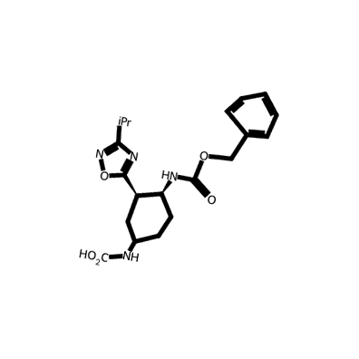 CC(C)c1noc([C@@H]2CC(NC(=O)O)CC[C@@H]2NC(=O)OCc2ccccc2)n1